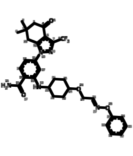 CC1(C)CC(=O)c2c(C(F)(F)F)nn(-c3ccc(C(N)=O)c(NC4CCC(OCC=NOc5ccccc5)CC4)c3)c2C1